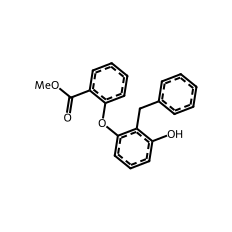 COC(=O)c1ccccc1Oc1cccc(O)c1Cc1ccccc1